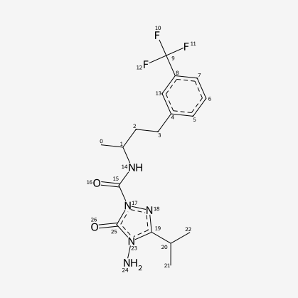 CC(CCc1cccc(C(F)(F)F)c1)NC(=O)n1nc(C(C)C)n(N)c1=O